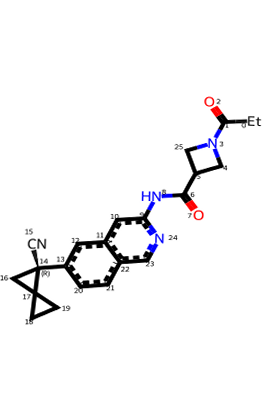 CCC(=O)N1CC(C(=O)Nc2cc3cc([C@@]4(C#N)CC45CC5)ccc3cn2)C1